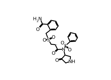 NC(=O)c1ccccc1CS(=O)(=O)C[CH]C(=O)N(C1CNCC1=O)S(=O)(=O)c1ccccc1